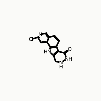 O=C1NNCc2[nH]c3c(ccc4cnc(Cl)cc43)c21